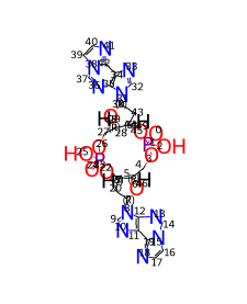 O=P1(O)OC[C@H]2O[C@@H](n3cnc4c3ncn3ccnc43)C[C@@H]2OP(=O)(O)OC[C@H]2O[C@@H](n3cnc4c3ncn3ccnc43)C[C@@H]2O1